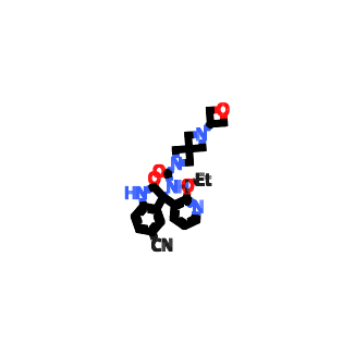 CCOc1ncccc1[C@]1(NC(=O)N2CC3(C2)CN(C2COC2)C3)C(=O)Nc2ccc(C#N)cc21